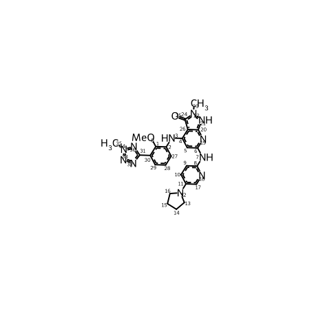 COc1c(Nc2cc(Nc3ccc(N4CCCC4)cn3)nc3[nH]n(C)c(=O)c23)cccc1-c1nnn(C)n1